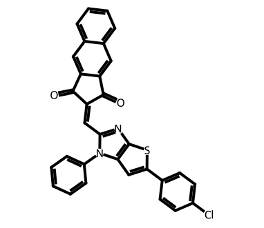 O=C1C(=Cc2nc3sc(-c4ccc(Cl)cc4)cc3n2-c2ccccc2)C(=O)c2cc3ccccc3cc21